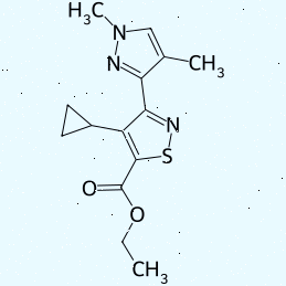 CCOC(=O)c1snc(-c2nn(C)cc2C)c1C1CC1